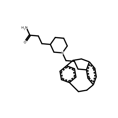 NC(=O)CCC1CCCN(CCCc2cc3ccc2CCc2ccc(cc2)CC3)C1